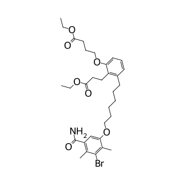 CCOC(=O)CCCOc1cccc(CCCCCCOc2cc(C(N)=O)c(C)c(Br)c2C)c1CCC(=O)OCC